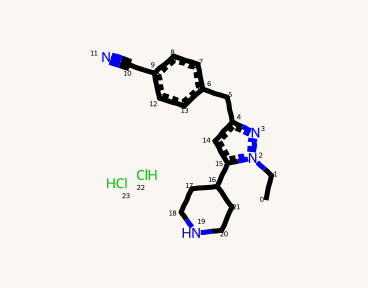 CCn1nc(Cc2ccc(C#N)cc2)cc1C1CCNCC1.Cl.Cl